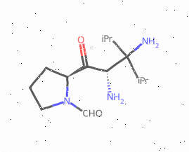 CC(C)C(N)(C(C)C)[C@H](N)C(=O)[C@@H]1CCCN1C=O